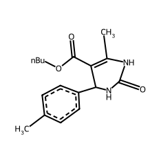 CCCCOC(=O)C1=C(C)NC(=O)NC1c1ccc(C)cc1